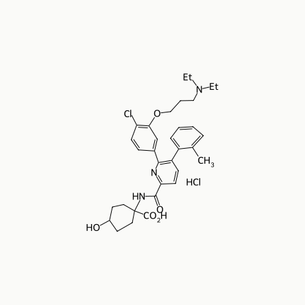 CCN(CC)CCCOc1cc(-c2nc(C(=O)NC3(C(=O)O)CCC(O)CC3)ccc2-c2ccccc2C)ccc1Cl.Cl